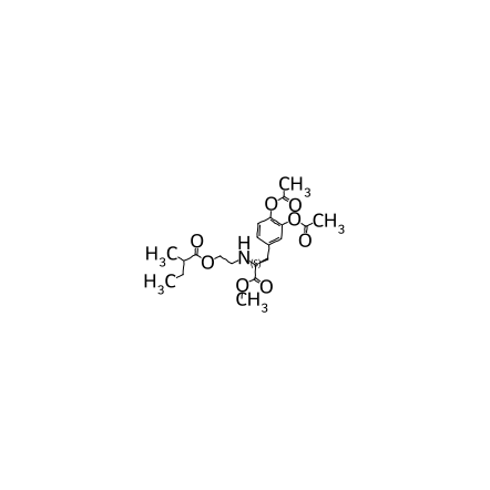 CCC(C)C(=O)OCCN[C@@H](Cc1ccc(OC(C)=O)c(OC(C)=O)c1)C(=O)OC